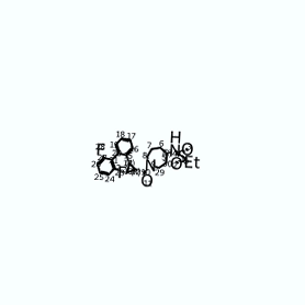 CCS(=O)(=O)N[C@@H]1CCCN(C(=O)[C@@H]2C[C@H]2c2ccccc2-c2c(F)cccc2F)CC1